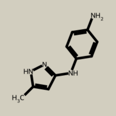 Cc1cc(Nc2ccc(N)cc2)n[nH]1